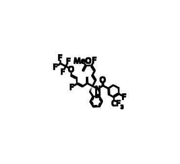 C=C(OC)/C(F)=C\C=C\[C@@](Cc1ccccc1)(NC(=O)C1=CC(C(F)(F)F)=C(F)CC1)C(=C)/C=C(F)\C=C\OC(F)(F)C(F)F